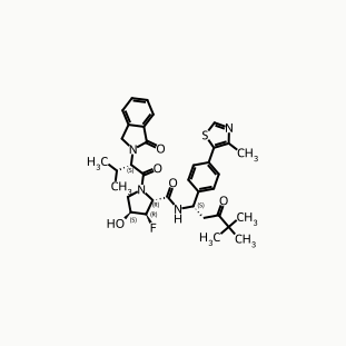 Cc1ncsc1-c1ccc([C@H](CC(=O)C(C)(C)C)NC(=O)[C@@H]2[C@@H](F)[C@@H](O)CN2C(=O)[C@H](C(C)C)N2Cc3ccccc3C2=O)cc1